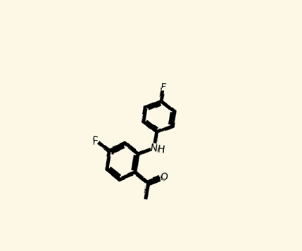 CC(=O)c1ccc(F)cc1Nc1ccc(F)cc1